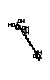 CC(C)(C)OC(=O)NCCCCCCCCCCCNC[C@H](O)c1ccc(O)c(CO)c1